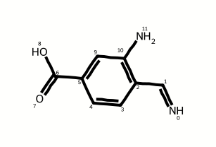 N=Cc1ccc(C(=O)O)cc1N